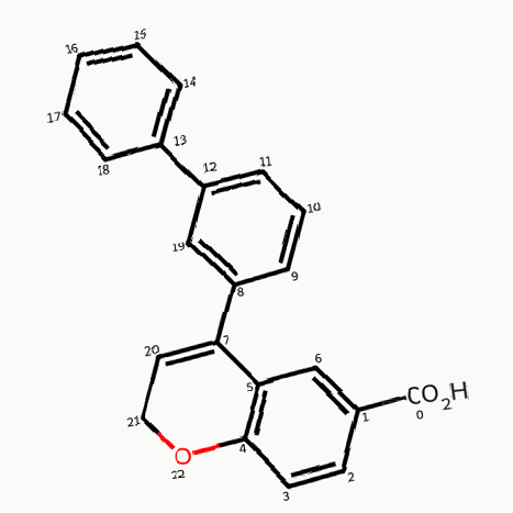 O=C(O)c1ccc2c(c1)C(c1cccc(-c3ccccc3)c1)=CCO2